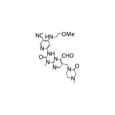 COCCNc1cc(NC(=O)N(C)c2ncc(CN3CCN(C)CC3=O)c(C=O)n2)ncc1C#N